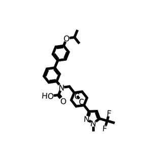 CC(C)Oc1ccc(-c2cccc(N(CC34CCC(c5cc(C(C)(F)F)n(C)n5)(CC3)CC4)C(=O)O)c2)cc1